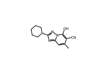 Cc1cc2nc(N3CCCCC3)nn2c(O)c1C#N